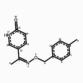 CC(=NOCc1ccc(C)cc1)c1ccc(=O)[nH]c1